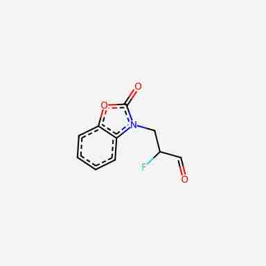 O=CC(F)Cn1c(=O)oc2ccccc21